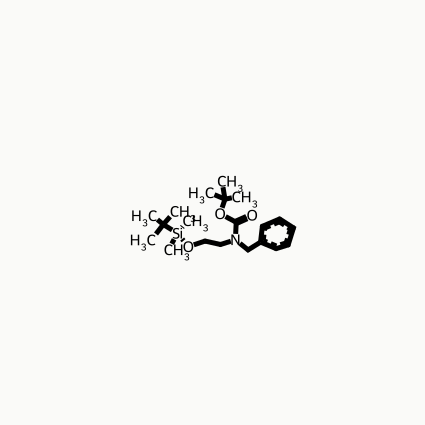 CC(C)(C)OC(=O)N(CCO[Si](C)(C)C(C)(C)C)Cc1ccccc1